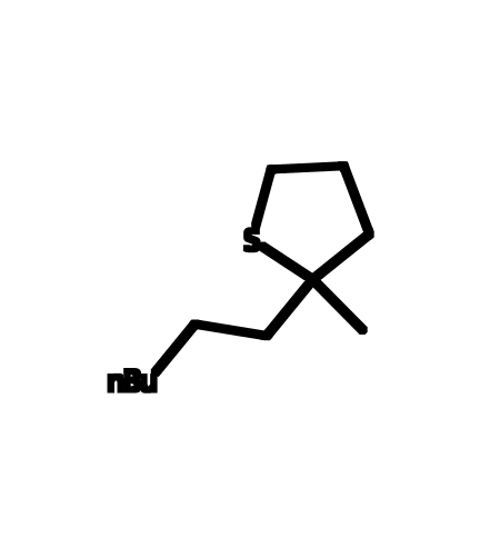 CCCCCCC1(C)CCCS1